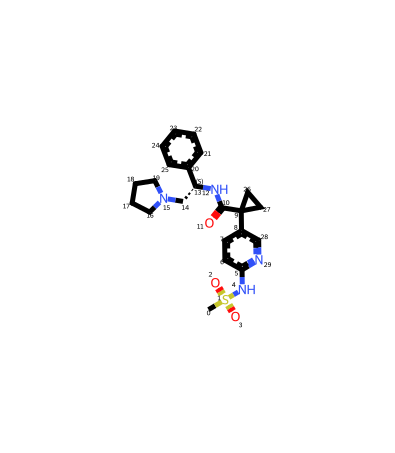 CS(=O)(=O)Nc1ccc(C2(C(=O)N[C@H](CN3CCCC3)c3ccccc3)CC2)cn1